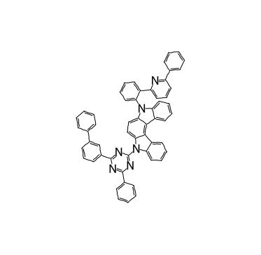 c1ccc(-c2cccc(-c3nc(-c4ccccc4)nc(-n4c5ccccc5c5c6c7ccccc7n(-c7ccccc7-c7cccc(-c8ccccc8)n7)c6ccc54)n3)c2)cc1